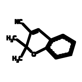 CC1(C)Oc2ccccc2C=C1C#N